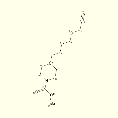 C#CCOCCCCN1CCN(C(=O)OCCCC)CC1